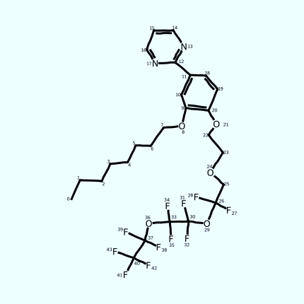 CCCCCCCCOc1cc(-c2ncccn2)ccc1OCCOCC(F)(F)OC(F)(F)C(F)(F)OC(F)(F)C(F)(F)F